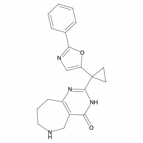 O=c1[nH]c(C2(c3cnc(-c4ccccc4)o3)CC2)nc2c1CNCCC2